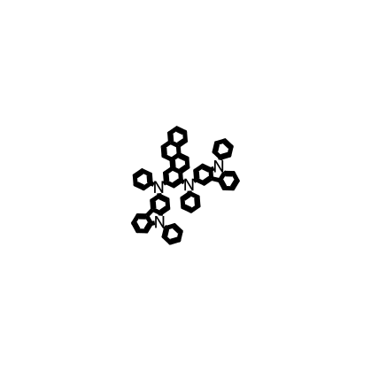 c1ccc(N(c2cc(N(c3ccccc3)c3ccc4c(c3)c3ccccc3n4-c3ccccc3)c3ccc4c5ccccc5ccc4c3c2)c2ccc3c(c2)c2ccccc2n3-c2ccccc2)cc1